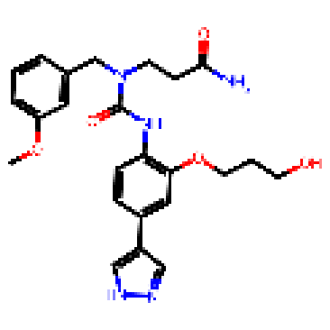 COc1cccc(CN(CCC(N)=O)C(=O)Nc2ccc(-c3cn[nH]c3)cc2OCCCO)c1